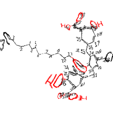 CCCCCCCCCCCCOc1c(Cc2ccc(O)c(C(=O)O)c2)cc(C)cc1Cc1ccc(O)c(C(=O)O)c1